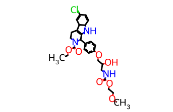 CCOC(=O)N1CCC2=C(NC3C=CC(Cl)=CC23)C1c1ccc(OCC(O)CNC(=O)OCCOC)cc1